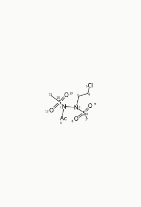 CC(=O)N(N(CCCl)S(C)(=O)=O)S(C)(=O)=O